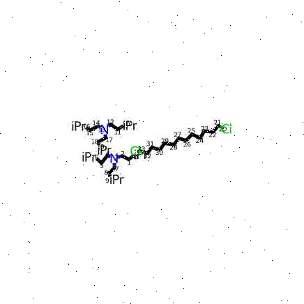 CC(C)CCN(CCC(C)C)CCC(C)C.CC(C)CCN(CCC(C)C)CCC(C)C.ClCCCCCCCCCCCCCl